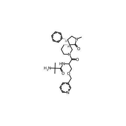 CN1C[C@@H](c2ccccc2)[C@@]2(CCCN(C(=O)C(COCc3cccnc3)NC(=O)C(C)(C)N)C2)C1=O